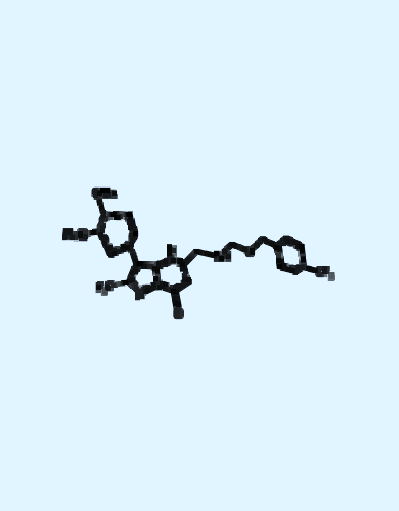 COc1ccc(-c2c(C(F)(F)F)nn3c(=O)cc(CNCOCc4ccc(C(F)(F)F)cc4)[nH]c23)cc1OC